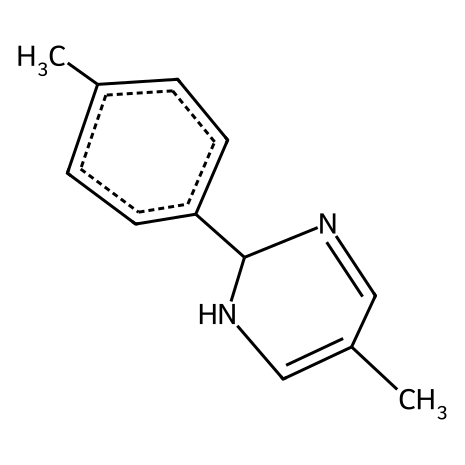 CC1=CNC(c2ccc(C)cc2)N=C1